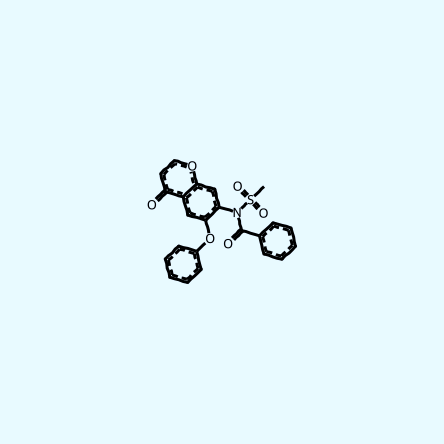 CS(=O)(=O)N(C(=O)c1ccccc1)c1cc2occc(=O)c2cc1Oc1ccccc1